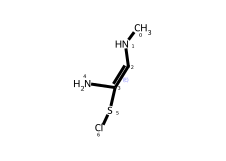 CN/C=C(\N)SCl